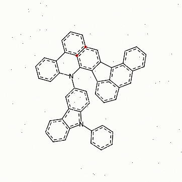 c1ccc(-c2ccccc2N(c2ccc3c(c2)c2ccccc2n3-c2ccccc2)c2cccc3c2-c2cccc4cc5ccccc5c-3c24)cc1